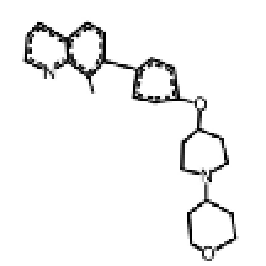 Cc1c(-c2ccc(OC3CCN(C4CCOCC4)CC3)cc2)ccc2cccnc12